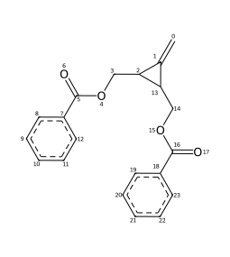 C=C1C(COC(=O)c2ccccc2)C1COC(=O)c1ccccc1